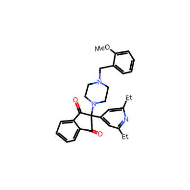 CCc1cc(C2(N3CCN(Cc4ccccc4OC)CC3)C(=O)c3ccccc3C2=O)cc(CC)n1